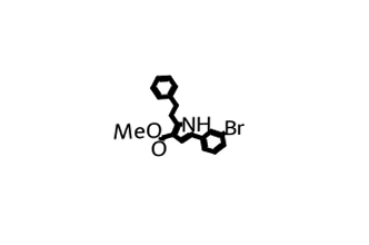 COC(=O)c1cc(-c2cccc(Br)c2)[nH]c1CCc1ccccc1